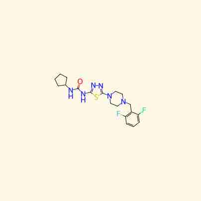 O=C(Nc1nnc(N2CCN(Cc3c(F)cccc3F)CC2)s1)NC1CCCC1